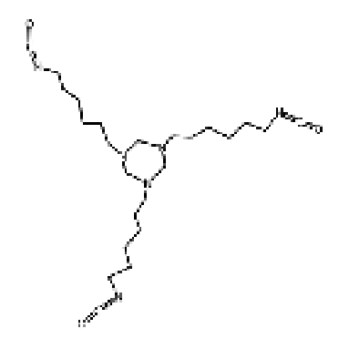 O=C=NCCCCCCN1CN(CCCCCCN=C=O)CN(CCCCCCN=C=O)C1